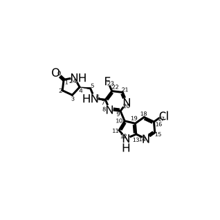 O=C1CC[C@H](CNc2nc(-c3c[nH]c4ncc(Cl)cc34)ncc2F)N1